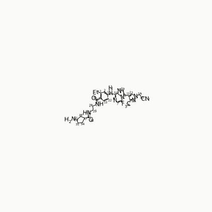 CCc1cc(Nc2nccn3c(-c4cn(CC#N)nc4C(F)(F)F)cnc23)ccc1C(=O)NCCNC(=O)[C@H]1CC[C@H](N)C1